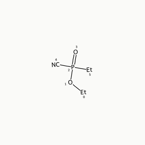 CCOP(=O)(C#N)CC